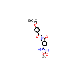 CCOC(=O)COc1ccc(C(=O)CN2Cc3cc(C(=N)NC(=O)OC(C)(C)C)ccc3C2=O)cc1